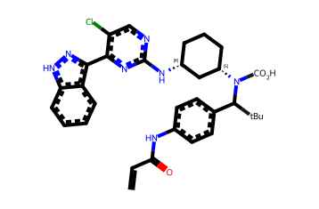 C=CC(=O)Nc1ccc(C(N(C(=O)O)[C@H]2CCC[C@@H](Nc3ncc(Cl)c(-c4n[nH]c5ccccc45)n3)C2)C(C)(C)C)cc1